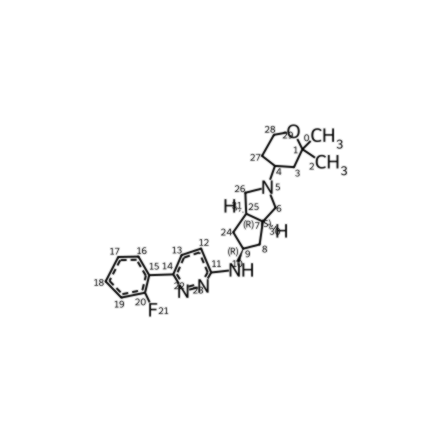 CC1(C)CC(N2C[C@H]3C[C@@H](Nc4ccc(-c5ccccc5F)nn4)C[C@H]3C2)CCO1